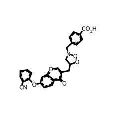 N#Cc1ccccc1Oc1ccc2c(=O)c(CC3CN(Cc4ccc(C(=O)O)cc4)OO3)coc2c1